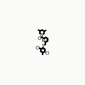 Cc1cc(Cl)c(SCc2cccc(C(=O)N3CC(C)CC(C)C3)n2)cc1Cl